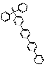 O=P(c1ccccc1)(c1ccccc1)c1ccc(-c2ccc(-c3ccc(-c4ccccc4)cc3)cc2)cc1